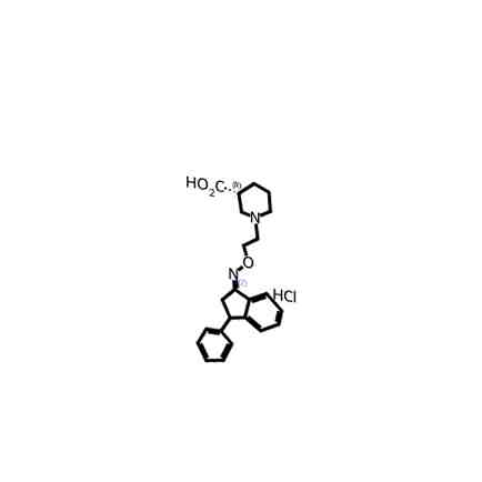 Cl.O=C(O)[C@@H]1CCCN(CCO/N=C2/CC(c3ccccc3)c3ccccc32)C1